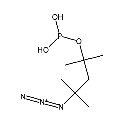 CC(C)(CC(C)(C)OP(O)O)N=[N+]=[N-]